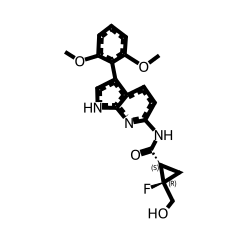 COc1cccc(OC)c1-c1c[nH]c2nc(NC(=O)[C@@H]3C[C@]3(F)CO)ccc12